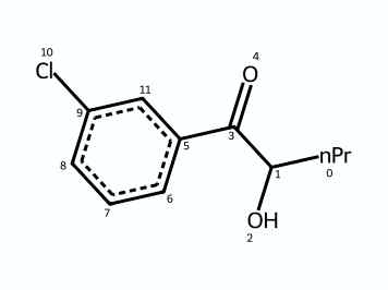 CCCC(O)C(=O)c1cccc(Cl)c1